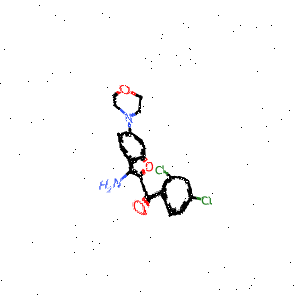 Nc1c(C(=O)c2ccc(Cl)cc2Cl)oc2cc(N3CCOCC3)ccc12